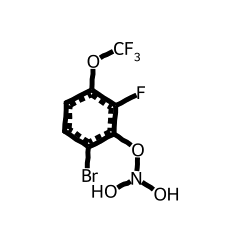 ON(O)Oc1c(Br)ccc(OC(F)(F)F)c1F